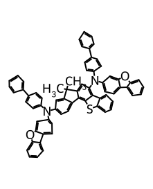 CC1(C)c2cc(N(c3ccc(-c4ccccc4)cc3)c3ccc4c(c3)oc3ccccc34)ccc2-c2c1cc(N(c1ccc(-c3ccccc3)cc1)c1ccc3c(c1)oc1ccccc13)c1c2sc2ccccc21